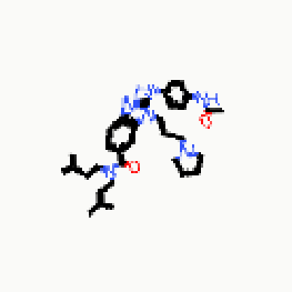 CC(=O)Nc1ccc(Nc2nc3ccc(C(=O)N(CCC(C)C)CCC(C)C)cc3n2CCCN2CCCC2)cc1